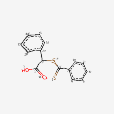 O=C(O)C(SC(=S)c1ccccc1)c1ccccc1